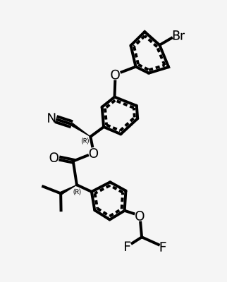 CC(C)[C@@H](C(=O)O[C@@H](C#N)c1cccc(Oc2ccc(Br)cc2)c1)c1ccc(OC(F)F)cc1